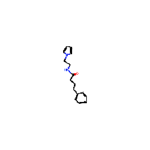 O=C(CCCc1ccccc1)NCCn1cccc1